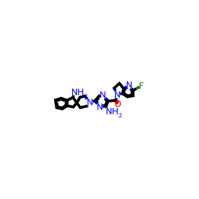 Nc1nc(N2CCC3(CC2)Cc2ccccc2C3N)cnc1C(=O)N1CCc2nc(F)ccc21